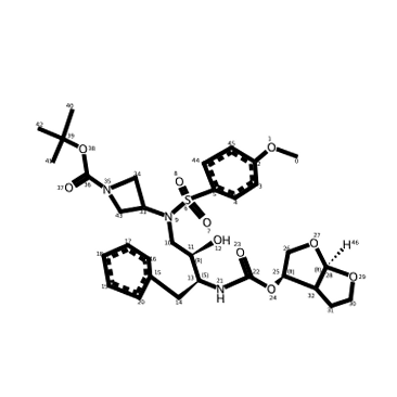 COc1ccc(S(=O)(=O)N(C[C@@H](O)[C@H](Cc2ccccc2)NC(=O)O[C@H]2CO[C@H]3OCCC32)C2CN(C(=O)OC(C)(C)C)C2)cc1